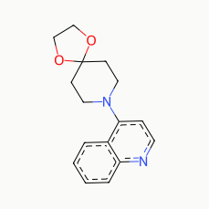 c1ccc2c(N3CCC4(CC3)OCCO4)ccnc2c1